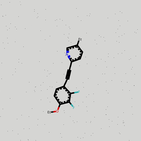 CCOc1ccc(C#Cc2ccc(CC)cn2)c(F)c1F